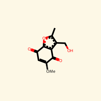 COC1=CC(=O)c2oc(C)c(CO)c2C1=O